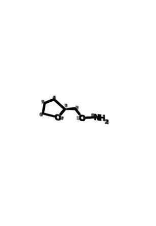 NOC[C@@H]1CCCO1